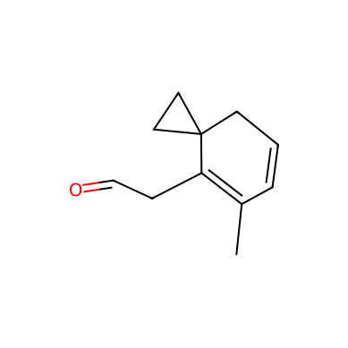 CC1=C(CC=O)C2(CC=C1)CC2